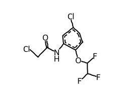 O=C(CCl)Nc1cc(Cl)ccc1OC(F)C(F)F